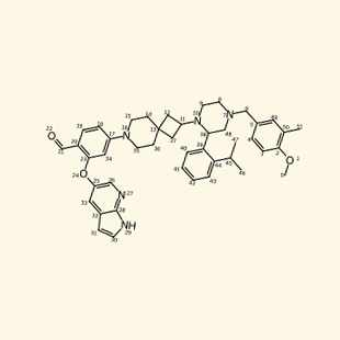 COc1ccc(CN2CCN(C3CC4(CCN(c5ccc(C=O)c(Oc6cnc7[nH]ccc7c6)c5)CC4)C3)C(c3ccccc3C(C)C)C2)cc1C